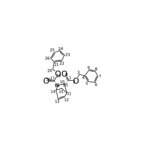 O=C(OCc1ccccc1)[C@@H]1C2C=CC(C2)[C@@H]1C(=O)OCc1ccccc1